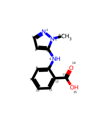 Cn1nccc1Nc1ccccc1C(=O)O